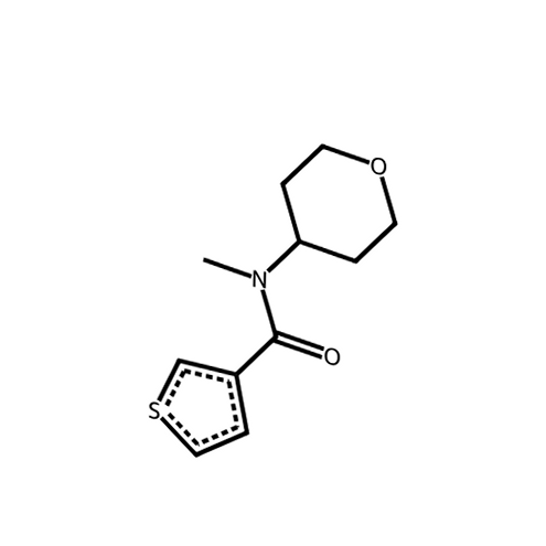 CN(C(=O)c1ccsc1)C1CCOCC1